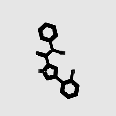 O=C(c1cc(-c2ccccc2Cl)c[nH]1)N(O)c1ccccc1